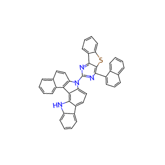 c1ccc2c(-c3nc(-n4c5ccc6ccccc6c5c5c6[nH]c7ccccc7c6ccc54)nc4c3sc3ccccc34)cccc2c1